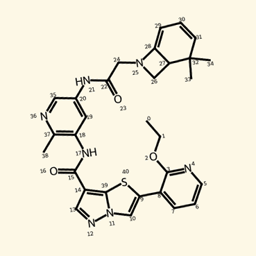 CCOc1ncccc1-c1cn2ncc(C(=O)Nc3cc(NC(=O)CN4CC5C4=CC=CC5(C)C)cnc3C)c2s1